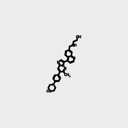 Cc1nn2c(-c3ccnc4cc(CNCCO)ccc34)cnc2cc1-c1ccc(N2CCNCC2)cc1